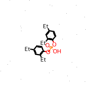 CCc1ccc(OP(=O)(O)Oc2ccc(CC)cc2CC)c(CC)c1